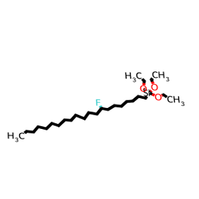 CCCCCCCCCCCCCC(F)CCCCCCC[Si](OCC)(OCC)OCC